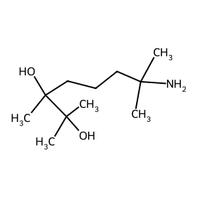 CC(C)(N)CCCC(C)(O)C(C)(C)O